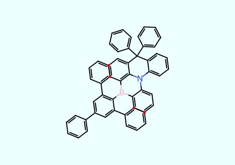 c1ccc(-c2cc(-c3ccccc3)c(B3c4ccccc4N4c5ccccc5C(c5ccccc5)(c5ccccc5)c5cccc3c54)c(-c3ccccc3)c2)cc1